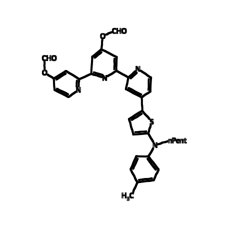 CCCCCN(c1ccc(C)cc1)c1ccc(-c2ccnc(-c3cc(OC=O)cc(-c4cc(OC=O)ccn4)n3)c2)s1